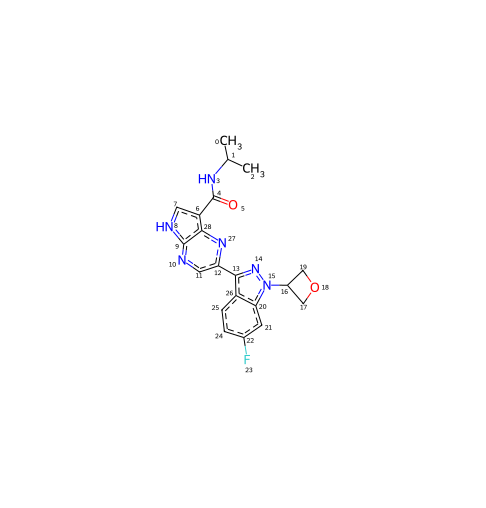 CC(C)NC(=O)c1c[nH]c2ncc(-c3nn(C4COC4)c4cc(F)ccc34)nc12